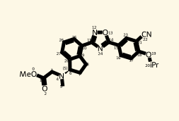 COC(=O)CN(C)[C@H]1CCc2c(-c3noc(-c4ccc(OC(C)C)c(C#N)c4)n3)cccc21